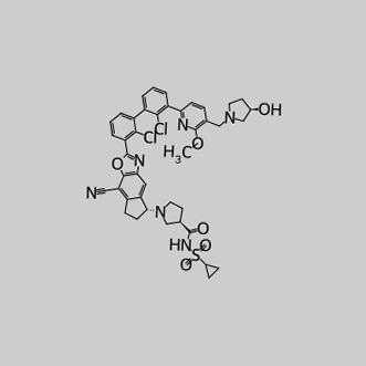 COc1nc(-c2cccc(-c3cccc(-c4nc5cc6c(c(C#N)c5o4)CC[C@H]6N4CC[C@@H](C(=O)NS(=O)(=O)C5CC5)C4)c3Cl)c2Cl)ccc1CN1CC[C@@H](O)C1